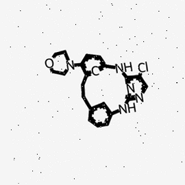 Clc1cnc2nc1Nc1ccc(N3CCOCC3)c(c1)CCc1cccc(c1)N2